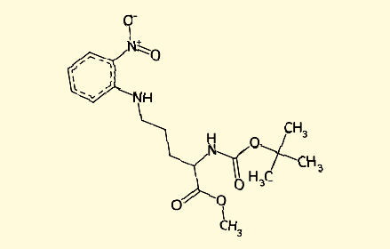 COC(=O)C(CCCNc1ccccc1[N+](=O)[O-])NC(=O)OC(C)(C)C